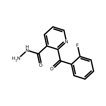 NNC(=O)c1cccnc1C(=O)c1ccccc1F